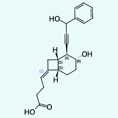 O=C(O)CC/C=C1/C[C@@H]2[C@@H](C#CC(O)c3ccccc3)[C@H](O)CC[C@H]12